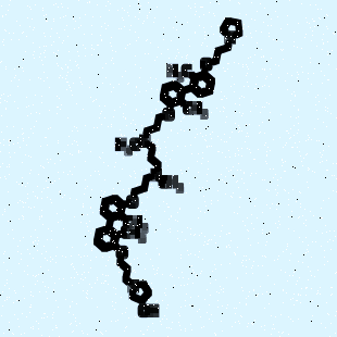 Cc1c(OCCCN(C)CCCN(C)CCCOc2cccc(-c3cccc(OCCCN4CC[C@@H](O)C4)c3C)c2C)cccc1-c1cccc(OCCCN2CCCC2)c1C